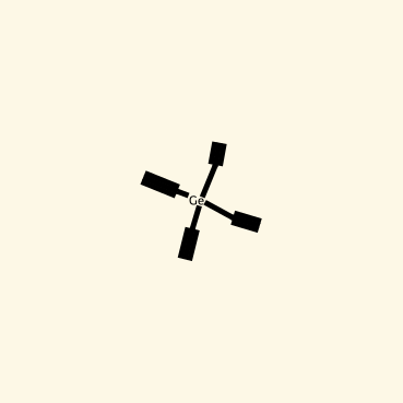 C#[C][Ge]([C]#C)([C]#C)[C]#C